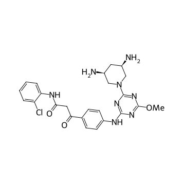 COc1nc(Nc2ccc(C(=O)CC(=O)Nc3ccccc3Cl)cc2)nc(N2C[C@H](N)C[C@H](N)C2)n1